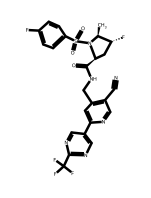 C[C@H]1[C@H](F)C[C@@H](C(=O)NCc2cc(-c3cnc(C(F)(F)F)nc3)ncc2C#N)N1S(=O)(=O)c1ccc(F)cc1